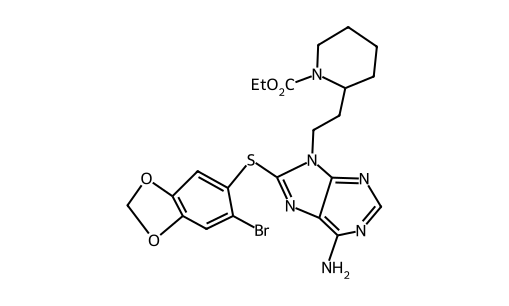 CCOC(=O)N1CCCCC1CCn1c(Sc2cc3c(cc2Br)OCO3)nc2c(N)ncnc21